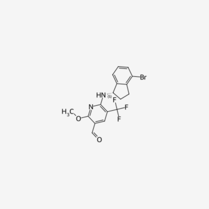 COc1nc(N[C@H]2CCc3c(Br)cccc32)c(C(F)(F)F)cc1C=O